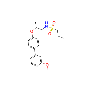 CCCS(=O)(=O)NCC(C)Oc1ccc(-c2cccc(OC)c2)cc1